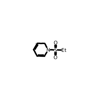 CCS(=O)(=O)N1C=CC=[C]C1